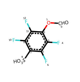 O=COc1c(F)c(F)c(S(=O)(=O)O)c(F)c1F